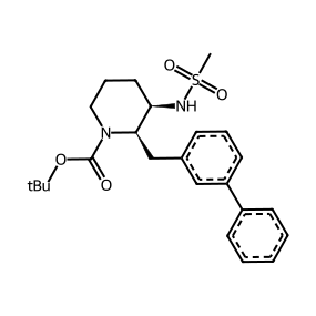 CC(C)(C)OC(=O)N1CCC[C@@H](NS(C)(=O)=O)[C@H]1Cc1cccc(-c2ccccc2)c1